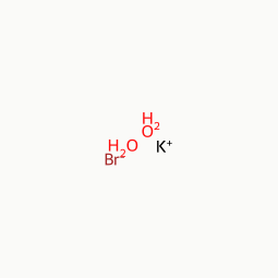 O.O.[Br-].[K+]